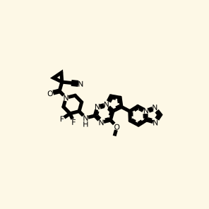 COc1nc(NC2CCN(C(=O)C3(C#N)CC3)CC2(F)F)nn2ccc(-c3ccc4ncnn4c3)c12